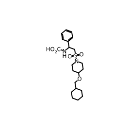 O=C(O)NC(CS(=O)(=O)N1CCC(OCC2CCCCC2)CC1)c1ccccc1